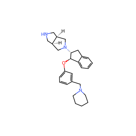 c1cc(CN2CCCCC2)cc(O[C@@H]2c3ccccc3C[C@H]2N2C[C@H]3CNC[C@H]3C2)c1